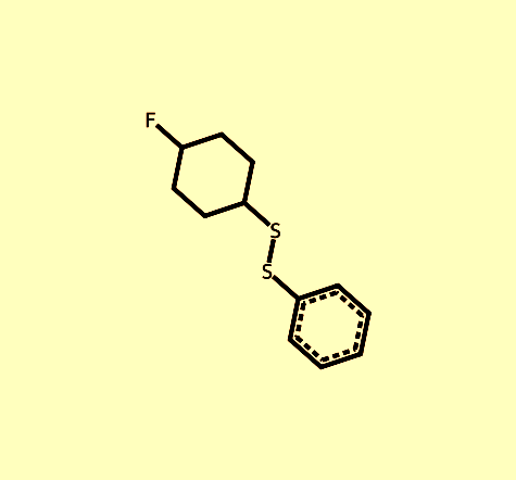 FC1CCC(SSc2ccccc2)CC1